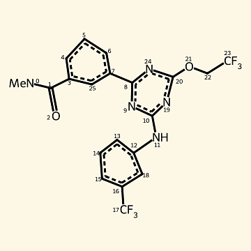 CNC(=O)c1cccc(-c2nc(Nc3cccc(C(F)(F)F)c3)nc(OCC(F)(F)F)n2)c1